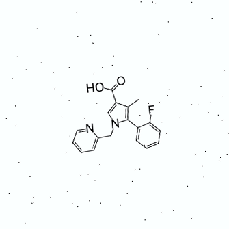 Cc1c(C(=O)O)cn(Cc2ccccn2)c1-c1ccccc1F